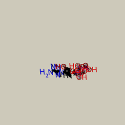 Nc1ncnc2c1ncn2[C@@H]1[C@H]2C[C@@]2(OCP(=O)(O)OP(=O)(O)OP(=O)(O)O)C[C@@H]1O